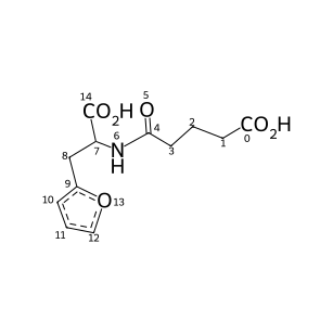 O=C(O)CCCC(=O)NC(Cc1ccco1)C(=O)O